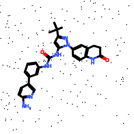 CC(C)(C)c1cc(NC(=O)Nc2cccc(-c3ccc(N)nc3)c2)n(-c2ccc3c(c2)CCC(=O)N3)n1